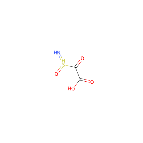 N=[SH](=O)C(=O)C(=O)O